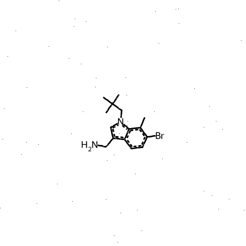 Cc1c(Br)ccc2c(CN)cn(CC(C)(C)C)c12